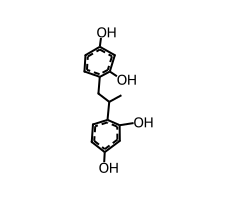 CC(Cc1ccc(O)cc1O)c1ccc(O)cc1O